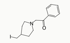 O=C(CN1CCC(CI)CC1)c1ccccc1